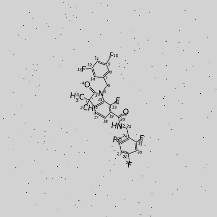 CC1(C)C(=O)N(Cc2cc(F)cc(F)c2)c2c1ccc(C(=O)NCc1c(F)cc(F)cc1F)c2F